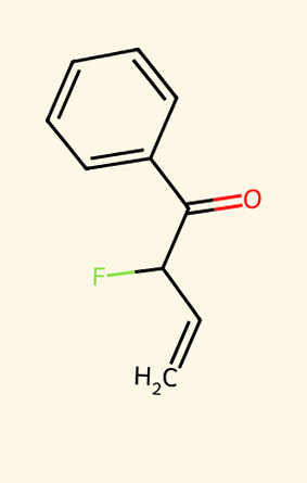 C=CC(F)C(=O)c1ccccc1